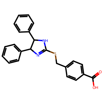 O=C(O)c1ccc(CSC2=NC(c3ccccc3)C(c3ccccc3)N2)cc1